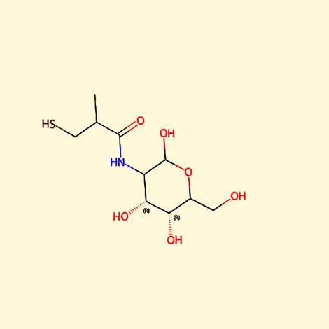 CC(CS)C(=O)NC1C(O)OC(CO)[C@H](O)[C@@H]1O